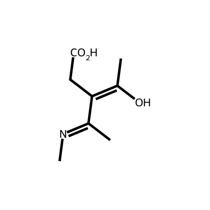 C/N=C(C)/C(CC(=O)O)=C(/C)O